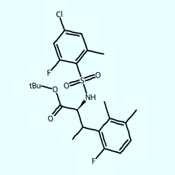 Cc1ccc(F)c(C(C)[C@H](NS(=O)(=O)c2c(C)cc(Cl)cc2F)C(=O)OC(C)(C)C)c1C